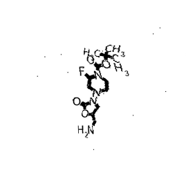 CC(C)(C)OC(=O)N1CCN(N2CC(CN)OC2=O)CC1F